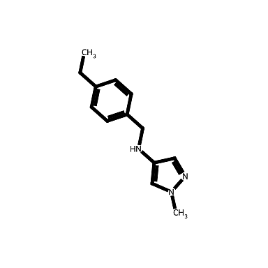 CCc1ccc(CNc2cnn(C)c2)cc1